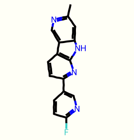 Cc1cc2[nH]c3nc(-c4ccc(F)nc4)ccc3c2cn1